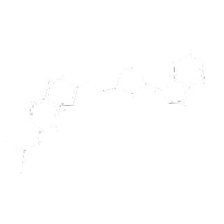 O=C(Nc1ncc2ccc(CCC3CCC(n4ccc5c(Cl)ncnc54)C3)cc2n1)C(F)(F)F